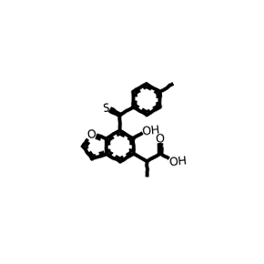 Cc1ccc(C(=S)c2c(O)c(C(C)C(=O)O)cc3ccoc23)cc1